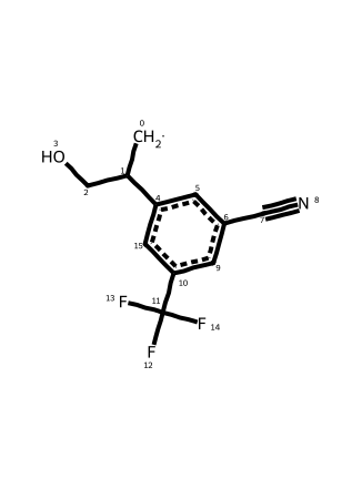 [CH2]C(CO)c1cc(C#N)cc(C(F)(F)F)c1